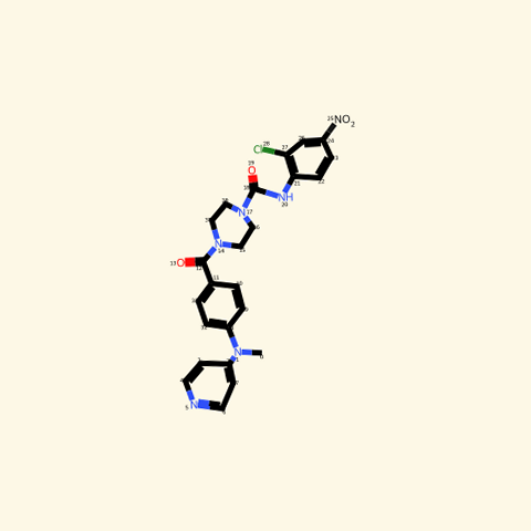 CN(c1ccncc1)c1ccc(C(=O)N2CCN(C(=O)Nc3ccc([N+](=O)[O-])cc3Cl)CC2)cc1